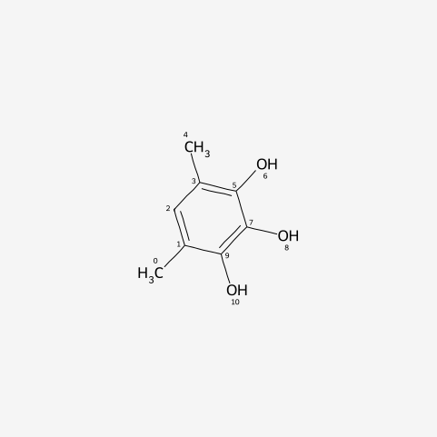 Cc1cc(C)c(O)c(O)c1O